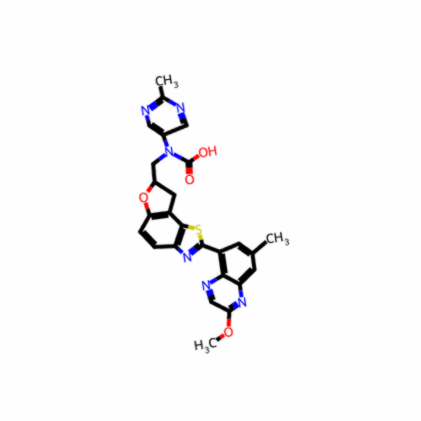 COc1cnc2c(-c3nc4ccc5c(c4s3)CC(CN(C(=O)O)c3cnc(C)nc3)O5)cc(C)cc2n1